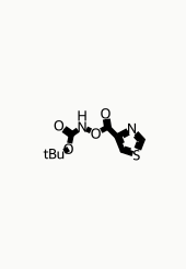 CC(C)(C)OC(=O)NOC(=O)c1cscn1